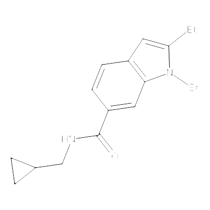 CCc1cc2ccc(C(=O)NCC3CC3)cc2n1CC